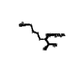 CC(C)(C)CCCC[C@H](NC(=O)O)C(O)C#N